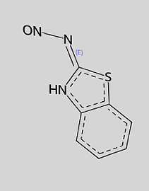 O=N/N=c1\[nH]c2ccccc2s1